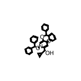 O=c1cc(C(O)C2CC2)n(OC(c2ccccc2)c2ccccc2)cc1OC(c1ccccc1)c1ccccc1